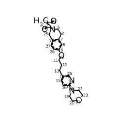 CS(=O)(=O)N1CCc2cc(OCCCc3ccc(N4CCOCC4)nc3)ccc2C1